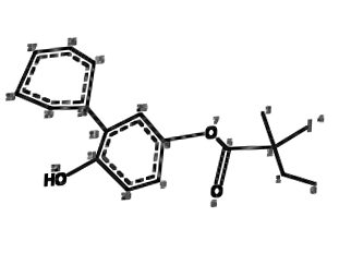 CCC(C)(I)C(=O)Oc1ccc(O)c(-c2ccccc2)c1